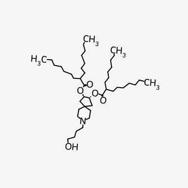 CCCCCCCC(CCCCCCC)C(=O)O[C@@H]1CC2(CCN(CCCCO)CC2)C[C@H]1OC(=O)C(CCCCCCC)CCCCCCC